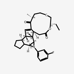 CC[C@H]1CCCC[C@@H](C)C(=O)C2=C[C@@H]3[C@@H]([C@@H]4[C@H](C5CCC[C@H]53)N4c3cccc(F)c3)[C@@H]2CC(=O)O1